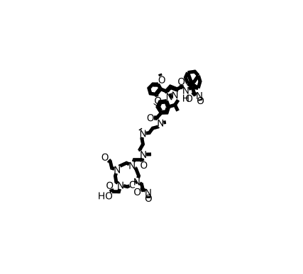 COC1=CCCC(OC)=C1c1cc(C(=O)NC2(C(=O)N=O)C3CC4CC(C3)CC2C4)nn1-c1ccc(C(=O)N(C)CCCN(C)CCCN(C)C(=O)CN2CCN(CC=O)CCN(CC(=O)O)CCN(CC(=O)N=O)CC2)cc1C(C)C